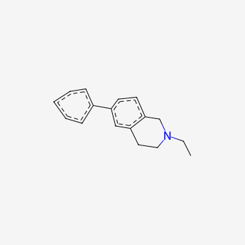 CCN1CCc2cc(-c3ccccc3)ccc2C1